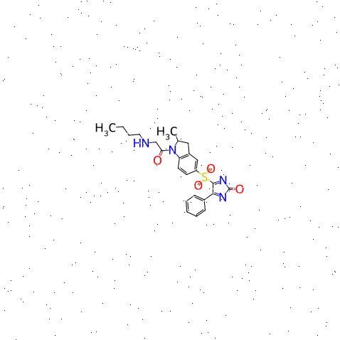 CCCCNCC(=O)N1c2ccc(S(=O)(=O)C3=NC(=O)N=C3c3ccccc3)cc2CC1C